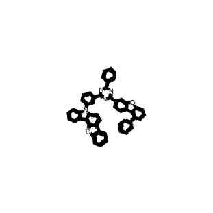 c1ccc(-c2nc(-c3cccc(-n4c5ccccc5c5c6oc7ccccc7c6ccc54)c3)nc(-c3ccc4c(c3)oc3cccc(-c5ccccc5)c34)n2)cc1